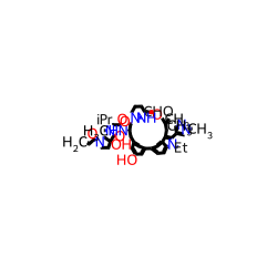 C=CC(=O)N1CC[C@@](O)(C(=O)N(C)[C@H](C(=O)N[C@H]2Cc3cc(O)cc(c3)-c3ccc4c(c3)c(c(-c3cnn(C)c3)n4CC)CC(C)(C)COCC3(C=O)CCCN(N3)C2=O)C(C)C)C1